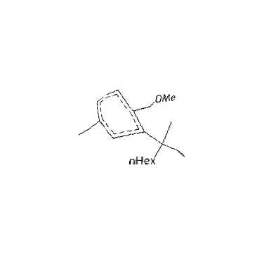 CCCCCCC(C)(C)c1cc(C)ccc1OC